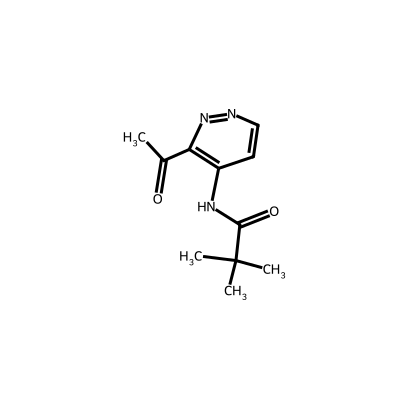 CC(=O)c1nnccc1NC(=O)C(C)(C)C